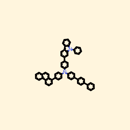 c1ccc(-c2ccc(-c3ccc(N(c4ccc(-c5ccc6c7ccccc7n(-c7ccccc7)c6c5)cc4)c4ccc(-c5cccc6c5ccc5ccccc56)cc4)cc3)cc2)cc1